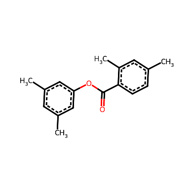 Cc1cc(C)cc(OC(=O)c2ccc(C)cc2C)c1